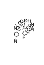 Cc1nc(-c2ccc(C#N)cc2)sc1C(=O)N(CC(=O)O)C(C)C(O)(Cn1cncn1)c1ccc(F)cc1F